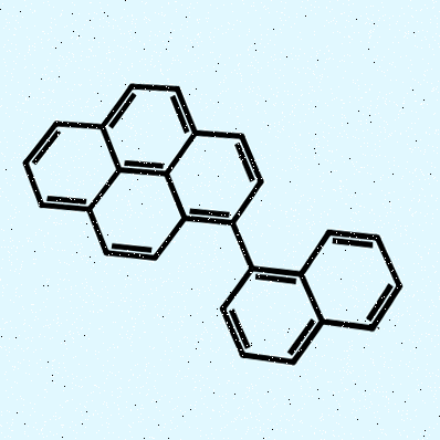 [c]1cccc2c(-c3ccc4ccc5cccc6ccc3c4c56)cccc12